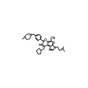 CN(C)CCn1cnc2c(N(CC3CCCC3)NC(=O)c3ccc(CN4CCN(C)CC4)cc3)nc(C#N)nc21